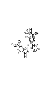 COC(=O)c1ccc2[nH]cc(C[C@H]3COCCN3c3nc4c(s3)C(=O)NC(C)(C)C4)c2c1